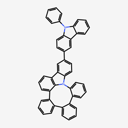 c1ccc(-n2c3ccccc3c3cc(-c4ccc5c(c4)c4cccc6c7ccccc7c7ccccc7c7ccccc7n5c64)ccc32)cc1